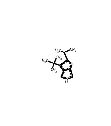 CC(C)c1sc2c[nH]cc2c1C(C)(C)C